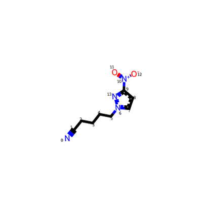 N#CCCCCn1ccc([N+](=O)[O-])n1